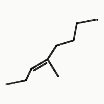 [CH2]CCC/C(C)=C/CC